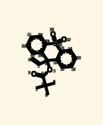 C=CC1(OC(=O)C(C)(C)C)c2ccccc2S(=O)(=O)c2ccccc21